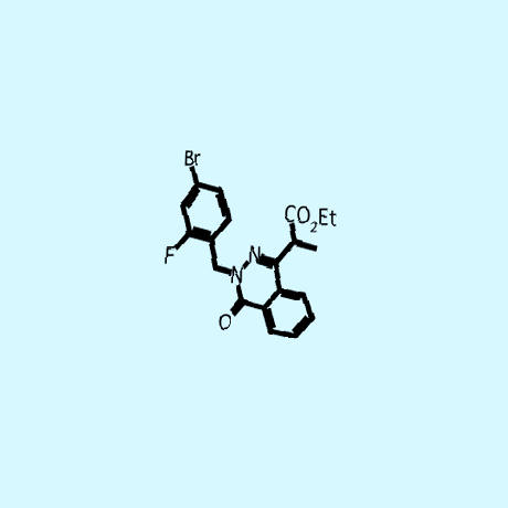 CCOC(=O)C(C)c1nn(Cc2ccc(Br)cc2F)c(=O)c2ccccc12